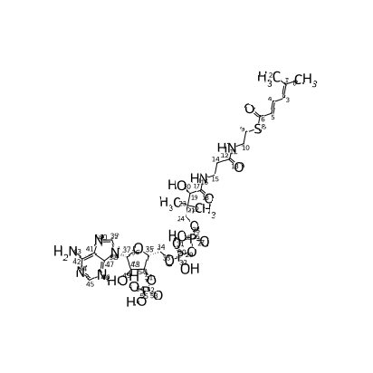 CC(C)=CC=CC(=O)SCCNC(=O)CCNC(=O)[C@H](O)C(C)(C)COP(=O)(O)OP(=O)(O)OC[C@H]1O[C@@H](n2cnc3c(N)ncnc32)[C@H](O)[C@@H]1OP(=O)(O)O